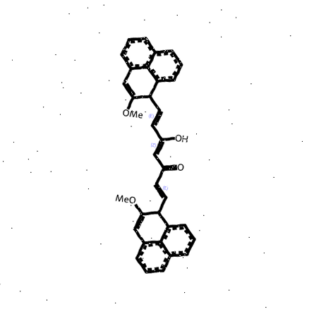 COC1=Cc2cccc3cccc(c23)C1/C=C/C(=O)/C=C(O)/C=C/C1C(OC)=Cc2cccc3cccc1c23